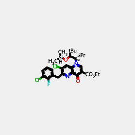 CCOC(=O)c1cn([C@@H](C(C)C)C(O[SiH](C)C)C(C)(C)C)c2cc(Cl)c(Cc3cccc(Cl)c3F)nc2c1=O